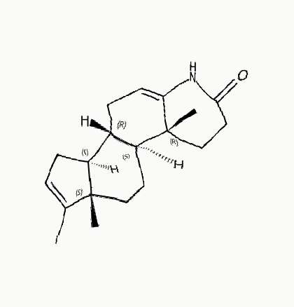 C[C@]12CCC(=O)NC1=CC[C@@H]1[C@@H]2CC[C@]2(C)C(I)=CC[C@@H]12